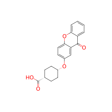 O=c1c2ccccc2oc2ccc(O[C@H]3CC[C@@H](C(=O)O)CC3)cc12